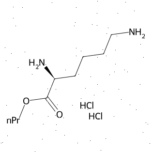 CCCOC(=O)[C@@H](N)CCCCN.Cl.Cl